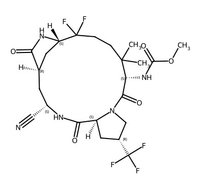 COC(=O)N[C@@H]1C(=O)N2C[C@H](C(F)(F)F)C[C@H]2C(=O)N[C@H](C#N)C[C@@H]2C[C@H](NC2=O)C(F)(F)CCC1(C)C